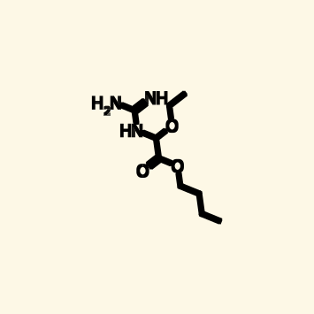 CCCCOC(=O)C(NC(=N)N)OCC